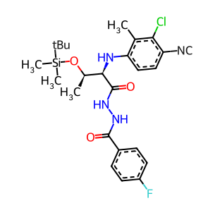 [C-]#[N+]c1ccc(N[C@@H](C(=O)NNC(=O)c2ccc(F)cc2)[C@@H](C)O[Si](C)(C)C(C)(C)C)c(C)c1Cl